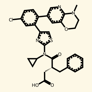 CN1CCOc2cc(-c3ccc(Cl)cc3-c3csc(N(C(=O)[C@@H](CC(=O)O)Cc4ccccc4)C4CC4)n3)cnc21